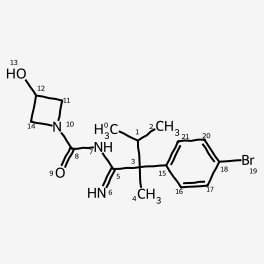 CC(C)C(C)(C(=N)NC(=O)N1CC(O)C1)c1ccc(Br)cc1